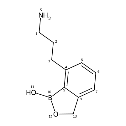 NCCCc1cccc2c1B(O)OC2